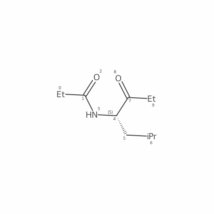 CCC(=O)N[C@@H](CC(C)C)C(=O)CC